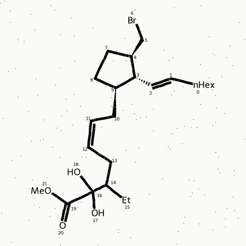 CCCCCC/C=C/[C@H]1[C@H](CBr)CC[C@@H]1C/C=C\CC(CC)C(O)(O)C(=O)OC